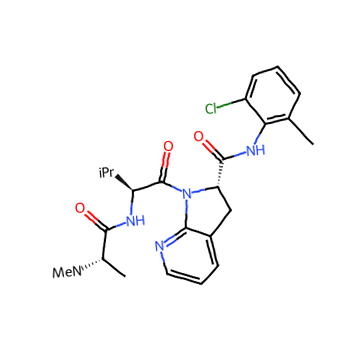 CN[C@@H](C)C(=O)N[C@H](C(=O)N1c2ncccc2C[C@H]1C(=O)Nc1c(C)cccc1Cl)C(C)C